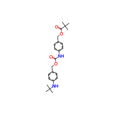 CC(C)(C)Nc1ccc(COC(=O)Nc2ccc(COC(=O)C(C)(C)C)cc2)cc1